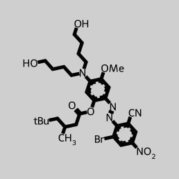 COc1cc(/N=N/c2c(Br)cc([N+](=O)[O-])cc2C#N)c(OC(=O)CC(C)CC(C)(C)C)cc1N(CCCCO)CCCCO